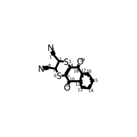 N#CC1SC2=C(SC1C#N)C(=O)c1ccccc1C2=O